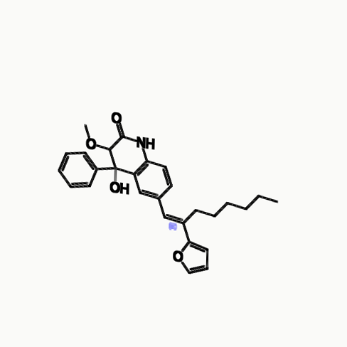 CCCCCC/C(=C\c1ccc2c(c1)C(O)(c1ccccc1)C(OC)C(=O)N2)c1ccco1